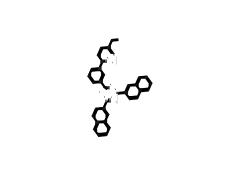 CCC1=CNC(c2cccc(-c3nc(-c4ccc5ccccc5c4)nc(-c4ccc5ccccc5c4)n3)c2)C=C1